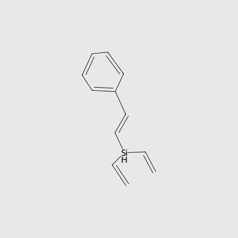 C=C[SiH](C=C)C=Cc1ccccc1